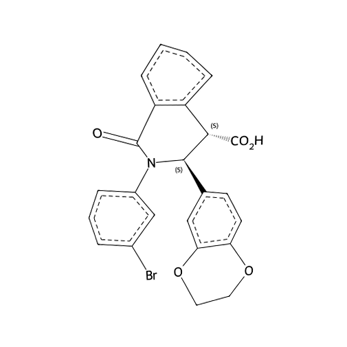 O=C(O)[C@H]1c2ccccc2C(=O)N(c2cccc(Br)c2)[C@@H]1c1ccc2c(c1)OCCO2